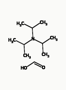 CC(C)N(C(C)C)C(C)C.O=CO